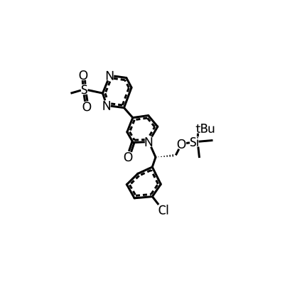 CC(C)(C)[Si](C)(C)OC[C@H](c1cccc(Cl)c1)n1ccc(-c2ccnc(S(C)(=O)=O)n2)cc1=O